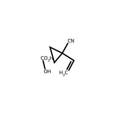 C=CC1(C#N)CC1.O=C(O)O